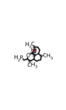 C[C@H]1C(CP)O[C@@H]2O[C@@]3(C)CCC4[C@H](C)CCC1[C@]42OO3